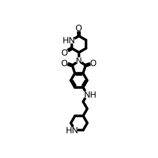 O=C1CCC(N2C(=O)c3ccc(NCCC4CCNCC4)cc3C2=O)C(=O)N1